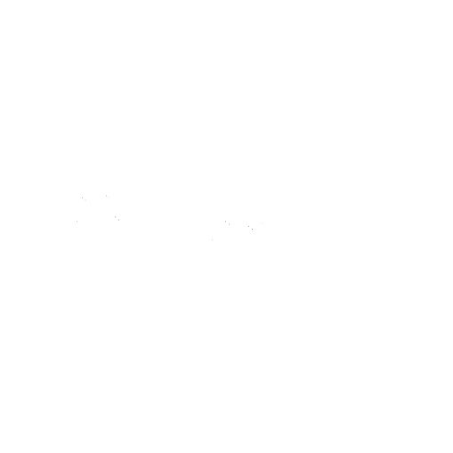 C/C(=N\NC(=O)c1ccc(-n2cnnn2)cc1)c1ccc2ccccc2c1